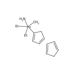 C1=CCC=C1.C[CH2][Ru]([CH3])([NH2])([CH2]C)[C]1=CC=CC1